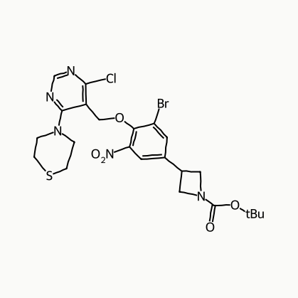 CC(C)(C)OC(=O)N1CC(c2cc(Br)c(OCc3c(Cl)ncnc3N3CCSCC3)c([N+](=O)[O-])c2)C1